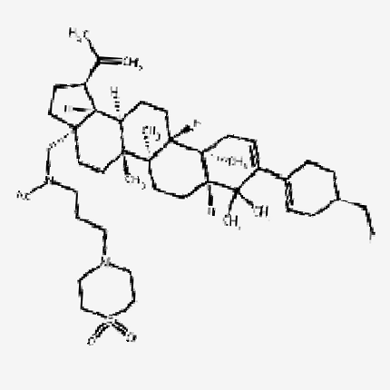 C=C(C)[C@@H]1CC[C@]2(CN(CCCN3CCS(=O)(=O)CC3)C(C)=O)CC[C@]3(C)[C@H](CC[C@@H]4[C@@]5(C)CC=C(C6=CC[C@H](CF)CC6)C(C)(C)[C@@H]5CC[C@]43C)[C@@H]12